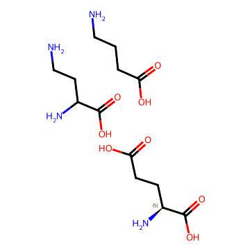 NCCC(N)C(=O)O.NCCCC(=O)O.N[C@@H](CCC(=O)O)C(=O)O